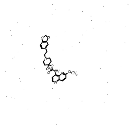 COc1ccc2nccc(NC(=O)OC3(O)CCN(CCc4ccc5c(c4)OCO5)CC3)c2n1